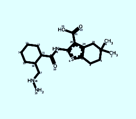 CC1(C)CCc2sc(NC(=O)C3CCCCC3CNN)c(C(=O)O)c2C1